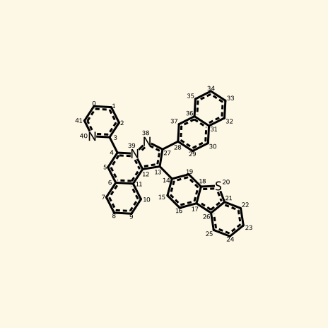 c1ccc(-c2cc3ccccc3c3c(-c4ccc5c(c4)sc4ccccc45)c(-c4ccc5ccccc5c4)nn23)nc1